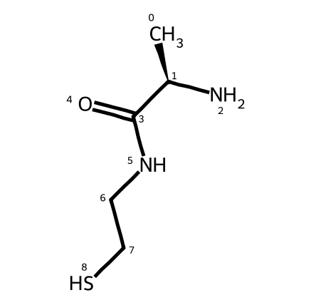 C[C@@H](N)C(=O)NCCS